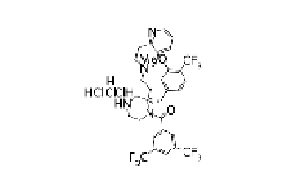 COc1cc(C[C@@]2(CCN3CCc4ncccc4C3)CNCCN2C(=O)c2cc(C(F)(F)F)cc(C(F)(F)F)c2)ccc1C(F)(F)F.Cl.Cl.Cl